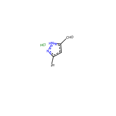 CC(C)c1cc(C=O)[nH]n1.Cl